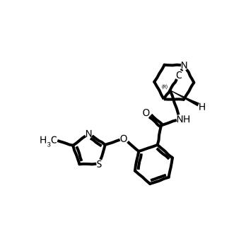 Cc1csc(Oc2ccccc2C(=O)N[C@H]2CN3CCC2CC3)n1